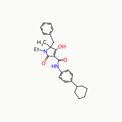 CCN1C(=O)C(C(=O)Nc2ccc(C3CCCCC3)cc2)=C(O)C1(C)Cc1ccccc1